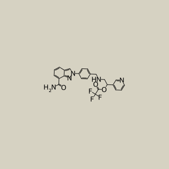 NC(=O)c1cccc2cn(-c3ccc(CNCC(OC(=O)C(F)(F)F)c4cccnc4)cc3)nc12